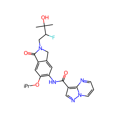 CC(C)Oc1cc2c(cc1NC(=O)c1cnn3cccnc13)CN(CC(F)C(C)(C)O)C2=O